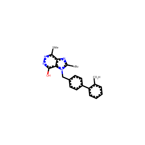 CCCCc1nc2c(SC)nnc(O)c2n1Cc1ccc(-c2ccccc2C(=O)O)cc1